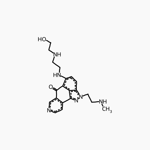 CNCCn1nc2c3c(c(NCCNCCO)ccc31)C(=O)c1cnccc1-2